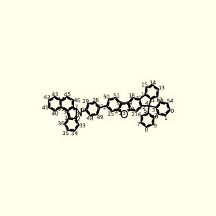 c1ccc(C2(c3ccccc3)c3ccccc3-c3cc4c(cc32)oc2cc(-c3ccc(-n5c6ccccc6c6c7ccccc7ccc65)cc3)ccc24)cc1